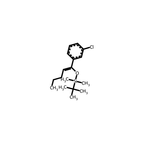 CCCC=C(O[Si](C)(C)C(C)(C)C)c1cccc(Cl)c1